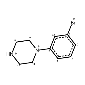 Brc1cccc(N2CCNCC2)c1